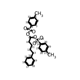 Cc1ccc(S(=O)(=O)OC(CCCCc2ccccc2)OS(=O)(=O)c2ccc(C)cc2)cc1